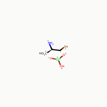 N[C@@H](CS)C(=O)O.[O-][Cl+2]([O-])O